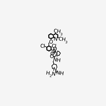 Cc1cc(C)c2cccc(OCc3c(Cl)ccc(S(=O)(=O)N4CCC[C@H]4C(=O)NCC4CCN(C(=N)N)CC4)c3Cl)c2n1